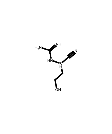 N#C[SH](CCO)NC(=N)N